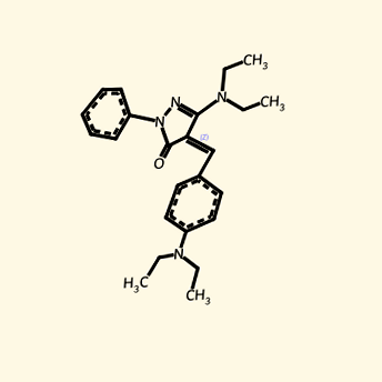 CCN(CC)C1=NN(c2ccccc2)C(=O)/C1=C\c1ccc(N(CC)CC)cc1